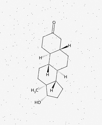 C[C@]12CC[C@H]3[C@@H](CC[C@H]4CC(=O)CC[C@@H]43)[C@@H]1CC[C@@H]2O